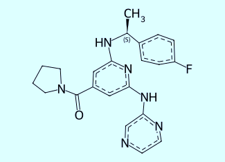 C[C@H](Nc1cc(C(=O)N2CCCC2)cc(Nc2cnccn2)n1)c1ccc(F)cc1